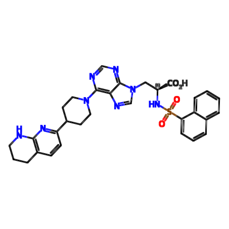 O=C(O)[C@H](Cn1cnc2c(N3CCC(c4ccc5c(n4)NCCC5)CC3)ncnc21)NS(=O)(=O)c1cccc2ccccc12